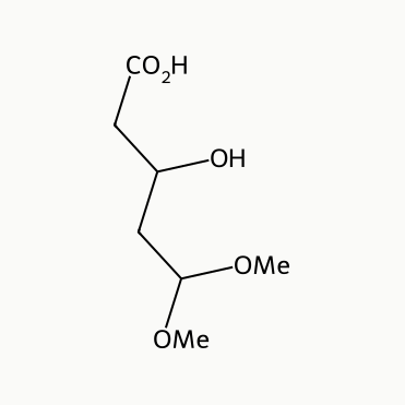 COC(CC(O)CC(=O)O)OC